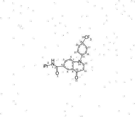 CC(C)NC(=O)c1ccc2c(c1)c(=O)ccn2-c1ccc(C(F)(F)F)cc1